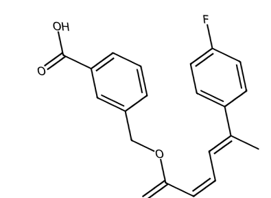 C=C(/C=C\C=C(/C)c1ccc(F)cc1)OCc1cccc(C(=O)O)c1